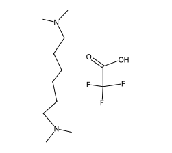 CN(C)CCCCCCN(C)C.O=C(O)C(F)(F)F